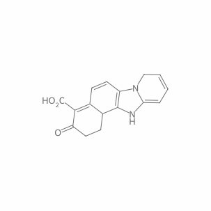 O=C(O)C1=C2C=CC3=C(NC4=CC=CCN43)C2CCC1=O